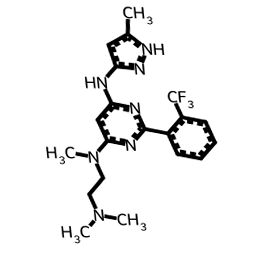 Cc1cc(Nc2cc(N(C)CCN(C)C)nc(-c3ccccc3C(F)(F)F)n2)n[nH]1